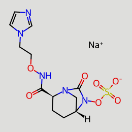 O=C(NOCCn1ccnc1)[C@@H]1CC[C@@H]2CN1C(=O)N2OS(=O)(=O)[O-].[Na+]